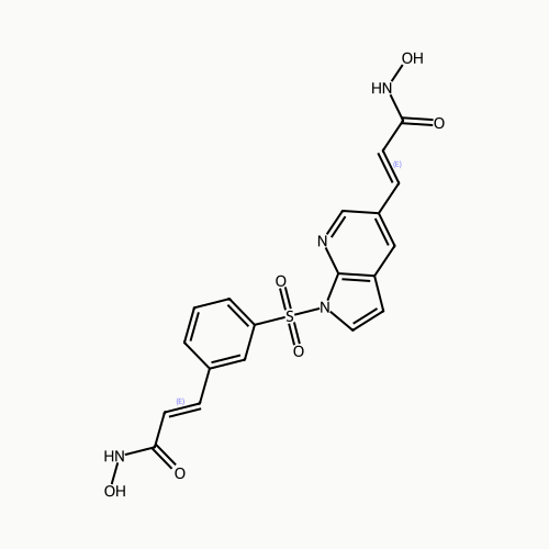 O=C(/C=C/c1cccc(S(=O)(=O)n2ccc3cc(/C=C/C(=O)NO)cnc32)c1)NO